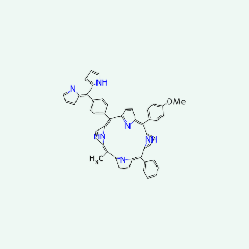 COc1ccc(-c2c3nc(c(-c4ccc(/C(=C5\C=CC=N5)c5ccc[nH]5)cc4)c4ccc([nH]4)c(C)c4nc(c(-c5ccccc5)c5ccc2[nH]5)C=C4)C=C3)cc1